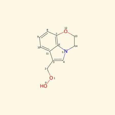 OOCc1cn2c3c(cccc13)OCC2